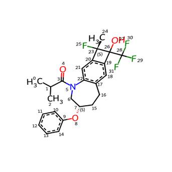 CC(C)C(=O)N1C[C@@H](Oc2ccccc2)CCc2cc3c(cc21)[C@](C)(F)C3(O)C(F)(F)F